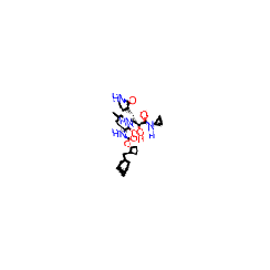 CC(C)C[C@H](NC(=O)OC1CCCC1Cc1ccccc1)C(=O)N[C@H](C[C@@H]1CCNC1=O)C(O)C(=O)NC1CC1